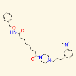 CN(C)c1cccc(CCCN2CCN(C(=O)CCCCCCC(=O)NOCc3ccccc3)CC2)c1